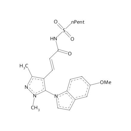 CCCCCS(=O)(=O)NC(=O)/C=C/c1c(C)nn(C)c1-n1ccc2cc(OC)ccc21